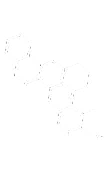 COc1ccc2cc3c4c(cc5c6ccccc6cnc35)CCCc4c2c1O